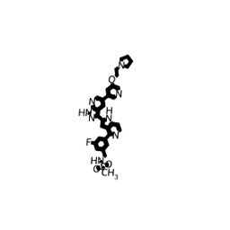 CS(=O)(=O)NCc1cc(F)cc(-c2nccc3[nH]c(-c4n[nH]c5ncc(-c6cncc(OCCN7CCCC7)c6)cc45)cc23)c1